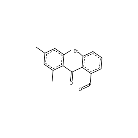 CCc1cccc(P=O)c1C(=O)c1c(C)cc(C)cc1C